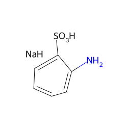 Nc1ccccc1S(=O)(=O)O.[NaH]